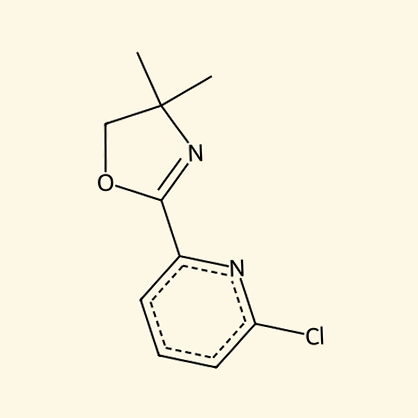 CC1(C)COC(c2cccc(Cl)n2)=N1